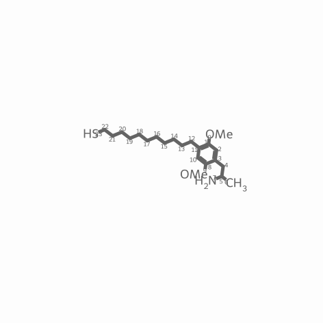 COc1cc(CC(C)N)c(OC)cc1CCCCCCCCCCCS